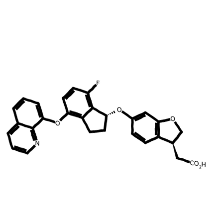 O=C(O)C[C@@H]1COc2cc(O[C@@H]3CCc4c(Oc5cccc6cccnc56)ccc(F)c43)ccc21